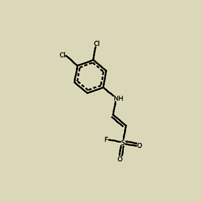 O=S(=O)(F)C=CNc1ccc(Cl)c(Cl)c1